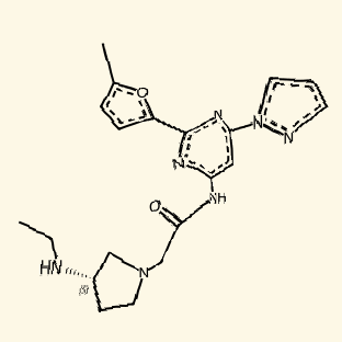 CCN[C@H]1CCN(CC(=O)Nc2cc(-n3cccn3)nc(-c3ccc(C)o3)n2)C1